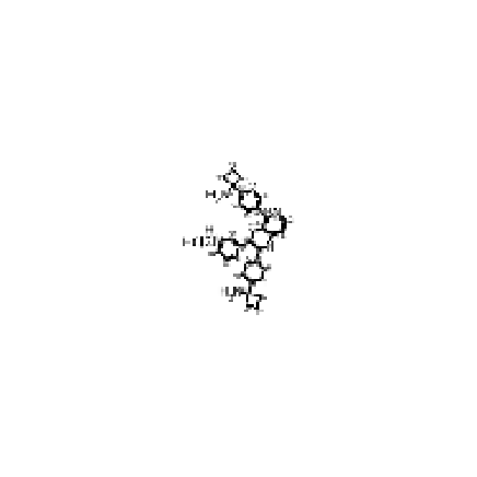 Cl.Cl.NC1(c2ccc(-c3nc4ccnc(-c5ccc(C6(N)CCC6)cc5)c4cc3-c3ccccc3)cc2)CCC1